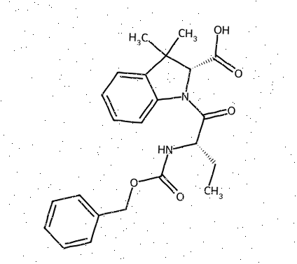 CC[C@H](NC(=O)OCc1ccccc1)C(=O)N1c2ccccc2C(C)(C)[C@@H]1C(=O)O